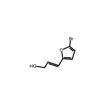 OC/C=C/c1ccc(Br)o1